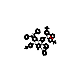 Cc1cc2c3c(c1)N(c1cccc4c1oc1ccccc14)c1cc(N(c4ccc(C(C)(C)C)cc4)c4ccc(C(C)(C)C)cc4-c4ccccc4)ccc1B3c1cc3c(-c4ccccc4)oc(-c4ccccc4)c3cc1N2c1ccc(C(C)(C)C)cc1